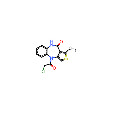 Cc1scc2c1C(=O)Nc1ccccc1N2C(=O)CCl